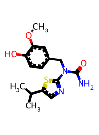 COc1cc(CN(C(N)=O)c2ncc(C(C)C)s2)ccc1O